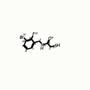 O=C(CS)NCc1cccc(Br)c1F